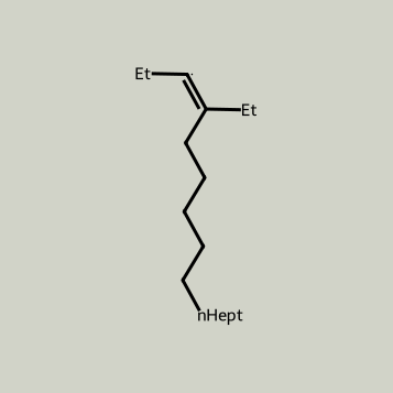 CC/[C]=C(/CC)CCCCCCCCCCCC